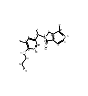 Cc1cc(C(C)N2Cc3c(ccnc3C)C2=O)cnc1OCCF